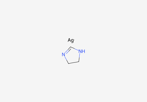 C1=NCCN1.[Ag]